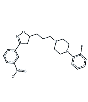 O=[N+]([O-])c1cccc(C2=NOC(CCCN3CCN(c4ccccc4F)CC3)C2)c1